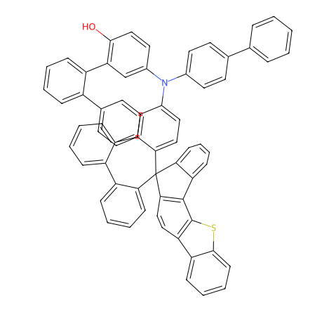 Oc1ccc(N(c2ccc(-c3ccccc3)cc2)c2ccc3c(c2)-c2ccccc2-c2ccccc2C32c3ccccc3-c3c2ccc2c3sc3ccccc32)cc1-c1ccccc1-c1ccccc1